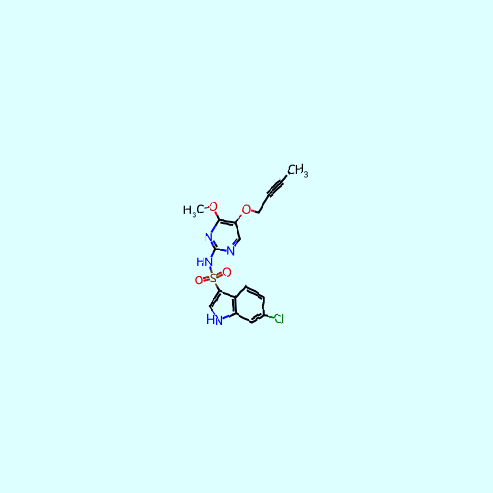 CC#CCOc1cnc(NS(=O)(=O)c2c[nH]c3cc(Cl)ccc23)nc1OC